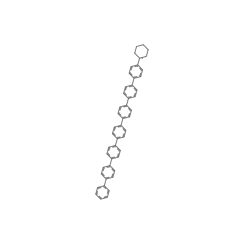 c1ccc(-c2ccc(-c3ccc(-c4ccc(-c5ccc(-c6ccc(-c7ccc([C]8CCCCC8)cc7)cc6)cc5)cc4)cc3)cc2)cc1